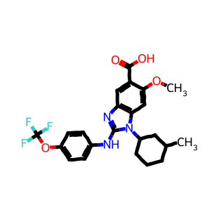 COc1cc2c(cc1C(=O)O)nc(Nc1ccc(OC(F)(F)F)cc1)n2C1CCCC(C)C1